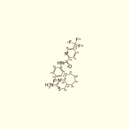 NC1=N[C@@]2(c3cc(NC(=O)c4ccc(C(F)(F)F)cn4)ccc3F)CCCCCC2CS1